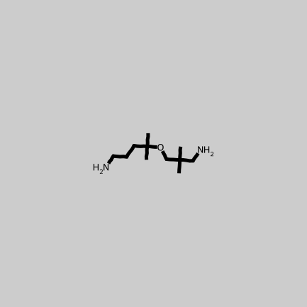 CC(C)(CN)COC(C)(C)CCCN